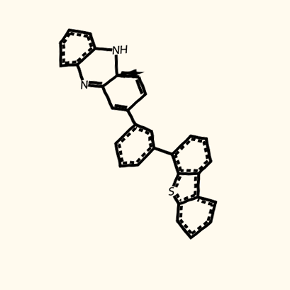 C1=CC2=CC(c3cccc(-c4cccc5c4sc4ccccc45)c3)=CC3=Nc4ccccc4NC23C=C1